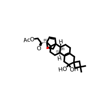 CC(=O)OCC(=O)[C@@]12C=CC3(CC1)[C@@H]1CCC4=C(CC(O)(O)C5(C4)CC(C)(C)C5)[C@H]1CC[C@@]32C